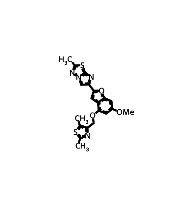 COc1cc(OCc2nc(C)sc2C)c2cc(-c3cn4nc(C)sc4n3)oc2c1